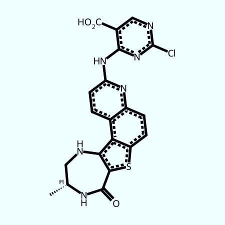 C[C@@H]1CNc2c(sc3ccc4nc(Nc5nc(Cl)ncc5C(=O)O)ccc4c23)C(=O)N1